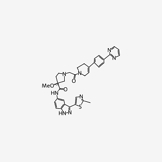 CO[C@@]1(C(=O)Nc2ccc3[nH]nc(-c4cnc(C)s4)c3c2)CCN(CC(=O)N2CC=C(c3ccc(-c4ncccn4)cc3)CC2)C1